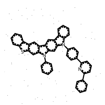 c1ccc(-c2cccc(-c3ccc(-n4c5ccccc5c5cc6c7cc8c(cc7n(-c7ccccc7)c6cc54)sc4ccccc48)cc3)n2)cc1